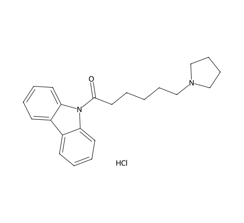 Cl.O=C(CCCCCN1CCCC1)n1c2ccccc2c2ccccc21